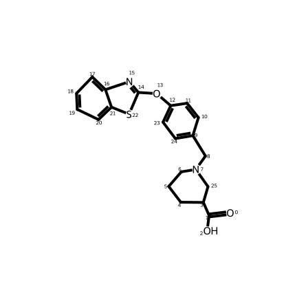 O=C(O)C1CCCN(Cc2ccc(Oc3nc4ccccc4s3)cc2)C1